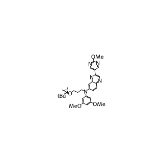 COc1cc(OC)cc(N(CCCO[Si](C)(C)C(C)(C)C)c2ccc3ncc(-c4cnc(OC)nc4)nc3c2)c1